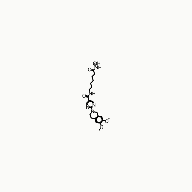 COc1cc2c(cc1OC)CN(c1ncc(C(=O)NCCCCCCC(=O)NO)cn1)CC2